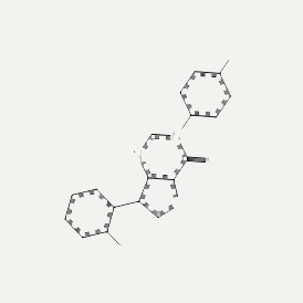 O=c1c2scc(-c3ccccc3F)c2ncn1-c1ccc(F)cc1